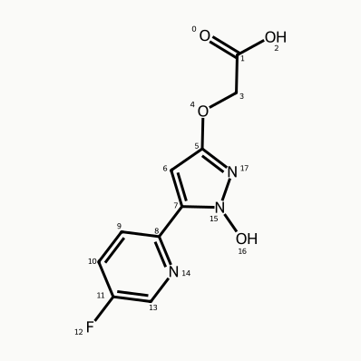 O=C(O)COc1cc(-c2ccc(F)cn2)n(O)n1